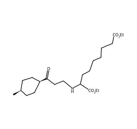 CCOC(=O)CCCCCCC(NCCC(=O)[C@H]1CC[C@@H](C)CC1)C(=O)OCC